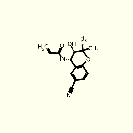 C=CC(=O)N[C@H]1c2cc(C#N)ccc2OC(C)(C)[C@@H]1O